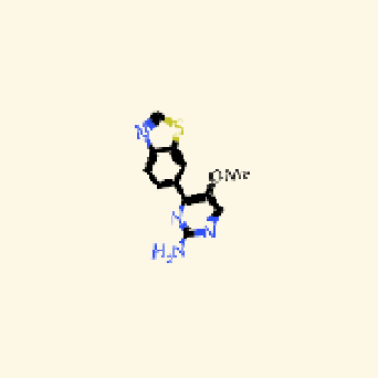 COc1cnc(N)nc1-c1ccc2ncsc2c1